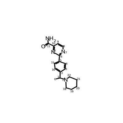 CC(c1ccc(-c2nccc(C(N)=O)n2)cc1)N1CCCCC1